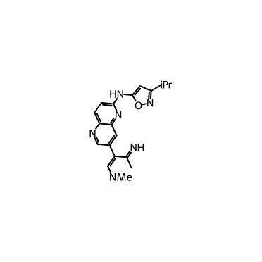 CN/C=C(\C(C)=N)c1cnc2ccc(Nc3cc(C(C)C)no3)nc2c1